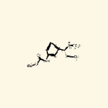 CC(C)(C)OC(=O)Nc1cccc([C@@H](CO)NC(=O)O)c1